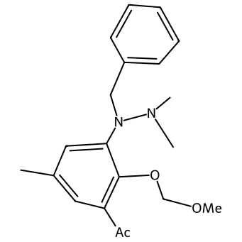 COCOc1c(C(C)=O)cc(C)cc1N(Cc1ccccc1)N(C)C